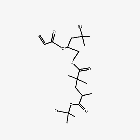 C=CC(=O)OC(COC(=O)C(C)(C)CC(C)C(=O)OC(C)(C)CC)CC(C)(C)CC